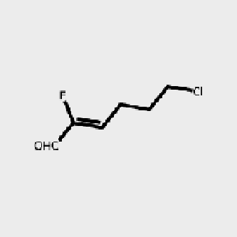 O=CC(F)=CCCCCl